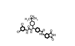 CC(C)(C)C1CCC(C(NC(=O)Nc2cc(Cl)cc(Cl)c2)c2ccc(C(=O)Nc3ccc4c(c3)C(=O)NC4=O)cc2)CC1